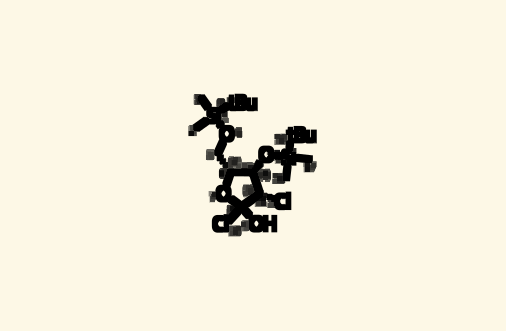 CC(C)(C)[Si](C)(C)OC[C@H]1OC(O)(Cl)[C@@H](Cl)[C@@H]1O[Si](C)(C)C(C)(C)C